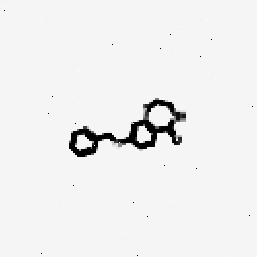 O=C1NCCOc2cc(OCc3ccccc3)ccc21